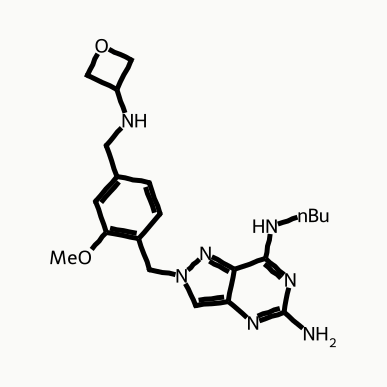 CCCCNc1nc(N)nc2cn(Cc3ccc(CNC4COC4)cc3OC)nc12